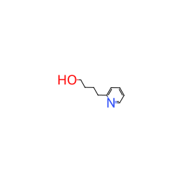 OCCCCc1ccccn1